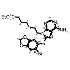 CCOC(=O)CCCOCCn1c(Sc2cc3c(cc2Br)OCO3)nc2c(N)ncnc21